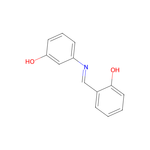 Oc1cccc(/N=C/c2ccccc2O)c1